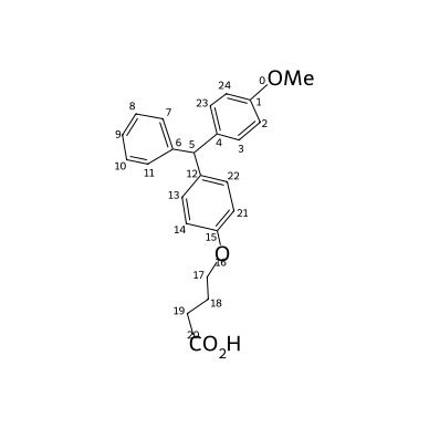 COc1ccc(C(c2ccccc2)c2ccc(OCCCC(=O)O)cc2)cc1